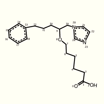 O=C(O)CCCCCOC(CCCc1ccccc1)Cn1ccnc1